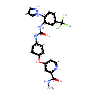 CNC(=O)c1cc(Oc2ccc(NC(=O)Nc3cc(C(F)(F)F)ccc3-n3cccn3)cc2)ccn1